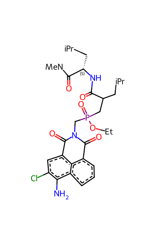 CCOP(=O)(CC(CC(C)C)C(=O)N[C@@H](CC(C)C)C(=O)NC)CN1C(=O)c2cccc3c(N)c(Cl)cc(c23)C1=O